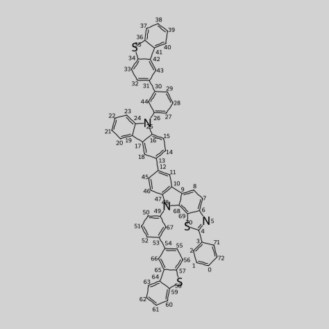 c1ccc(-c2nc3ccc4c5cc(-c6ccc7c(c6)c6ccccc6n7-c6cccc(-c7ccc8sc9ccccc9c8c7)c6)ccc5n(-c5cccc(-c6ccc7sc8ccccc8c7c6)c5)c4c3s2)cc1